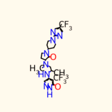 CC(CN(C)C1CCN(C2CCN(c3ncc(C(F)(F)F)cn3)CC2)C1=O)Nc1cn[nH]c(=O)c1C(F)(F)F